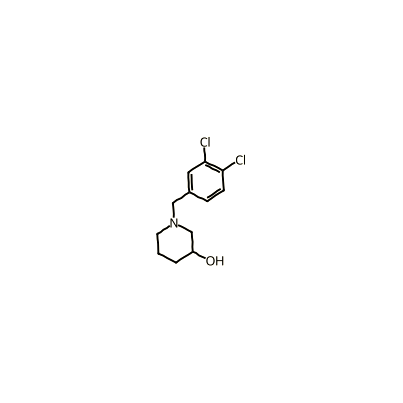 OC1CCCN(Cc2ccc(Cl)c(Cl)c2)C1